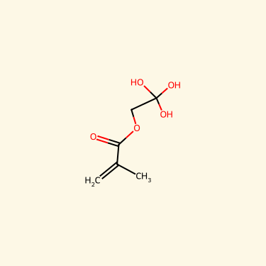 C=C(C)C(=O)OCC(O)(O)O